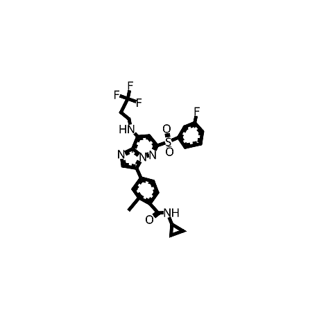 Cc1cc(-c2cnc3c(NCCC(F)(F)F)cc(S(=O)(=O)c4cccc(F)c4)nn23)ccc1C(=O)NC1CC1